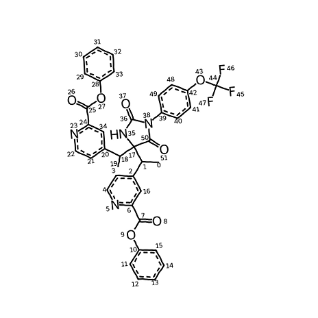 CC(c1ccnc(C(=O)Oc2ccccc2)c1)C1(C(C)c2ccnc(C(=O)Oc3ccccc3)c2)NC(=O)N(c2ccc(OC(F)(F)F)cc2)C1=O